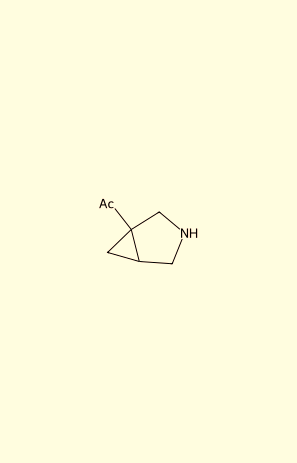 CC(=O)C12CNCC1C2